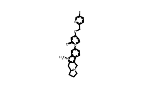 Cn1c2c(c3ccc(-n4ccc(OCc5ccc(F)cn5)cc4=O)cc31)CN1CCCC1C2